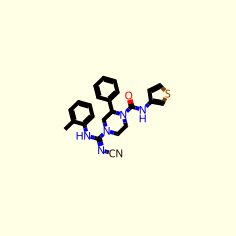 Cc1ccccc1N/C(=N/C#N)N1CCN(C(=O)Nc2ccsc2)C(c2ccccc2)C1